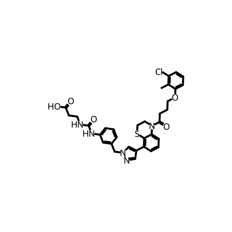 Cc1c(Cl)cccc1OCCCC(=O)N1CCSc2c(-c3cnn(Cc4cccc(NC(=O)NCCC(=O)O)c4)c3)cccc21